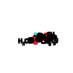 Cc1ccc(S(=O)(=O)n2cc(C)c3c(B4OC(C)(C)C(C)(C)O4)ccc(F)c32)cc1